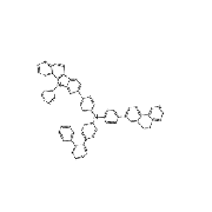 c1ccc(-c2ccccc2-c2ccc(N(c3ccc(-c4ccc5c(ccc6ccccc65)c4)cc3)c3ccc(-c4ccc5c6ccc7ccccc7c6n(-c6ccccc6)c5c4)cc3)cc2)cc1